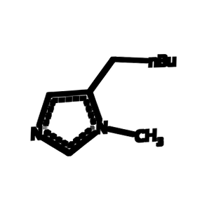 CCCCCc1cncn1C